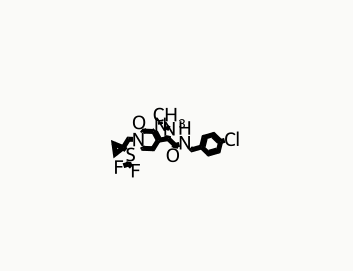 Cn1nc(C(=O)NCc2ccc(Cl)cc2)c2c1C(=O)N(CC1(SC(F)F)CC1)CC2